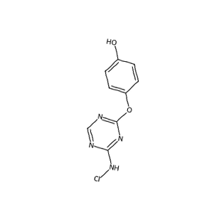 Oc1ccc(Oc2ncnc(NCl)n2)cc1